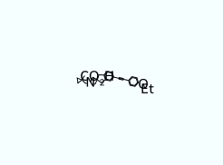 CCOc1ccc(C#Cc2ccc3c(c2)CC2(C3)CN(CC3(C(=O)O)CC3)C2)cc1